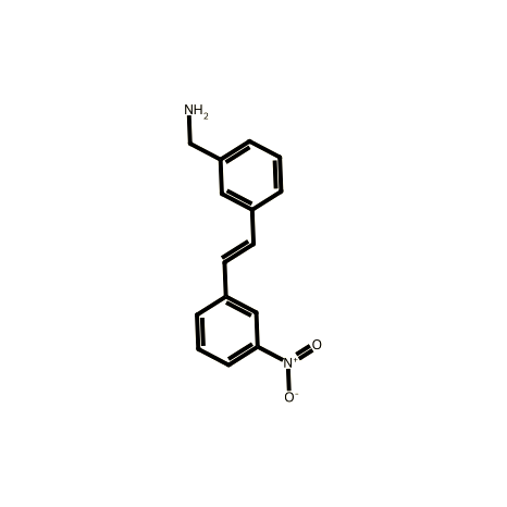 NCc1cccc(C=Cc2cccc([N+](=O)[O-])c2)c1